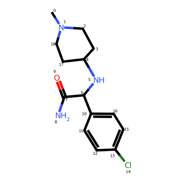 CN1CCC(NC(C(N)=O)c2ccc(Cl)cc2)CC1